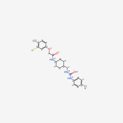 O=C(COc1ccc(Cl)c(F)c1)NC1CCC(CNC(=O)Nc2ccc(Cl)cc2)CC1